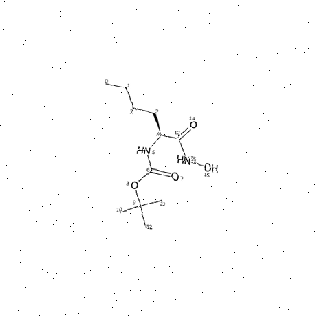 CCCC[C@H](NC(=O)OC(C)(C)C)C(=O)NO